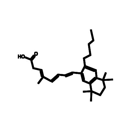 CCCCCc1cc2c(cc1C=CC=CC(C)=CCC(=O)O)C(C)(C)CCC2(C)C